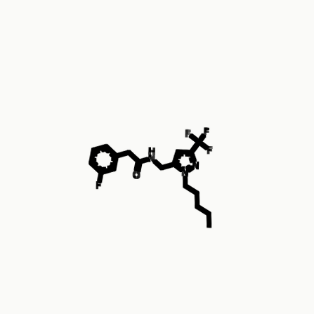 CCCCCn1nc(C(F)(F)F)cc1CNC(=O)Cc1cccc(F)c1